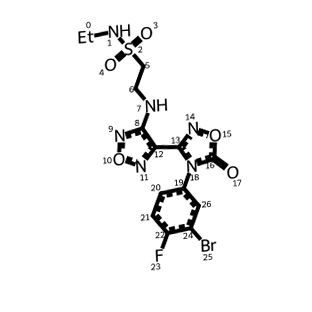 CCNS(=O)(=O)CCNc1nonc1-c1noc(=O)n1-c1ccc(F)c(Br)c1